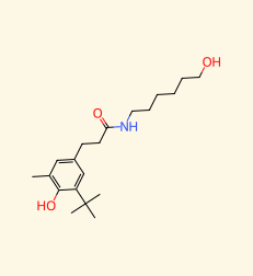 Cc1cc(CCC(=O)NCCCCCCO)cc(C(C)(C)C)c1O